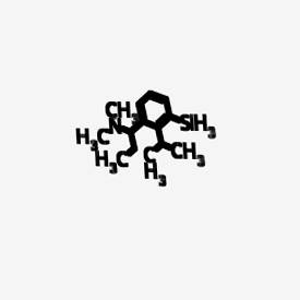 CCC(c1cccc([SiH3])c1C(C)C)N(C)C